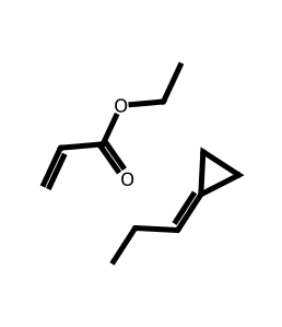 C=CC(=O)OCC.CCC=C1CC1